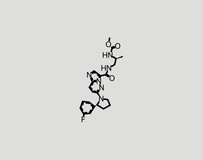 COC(=O)N[C@@H](C)CNC(=O)c1cnc2ccc(N3CCC[C@@H]3c3cccc(F)c3)nn12